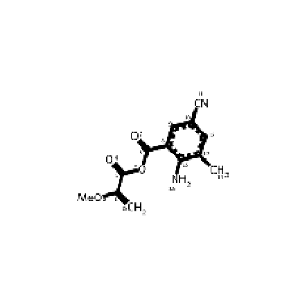 C=C(OC)C(=O)OC(=O)c1cc(C#N)cc(C)c1N